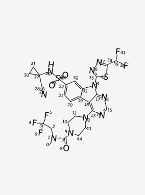 CN(CC(F)(F)F)C(=O)N1CCN(c2ncnc3c2c2ccc(S(=O)(=O)NC4(C#N)CC4)cc2n3-c2nnc(C(F)F)s2)CC1